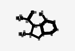 CN1Cc2cc[c]c(Br)c2N1C(N)=O